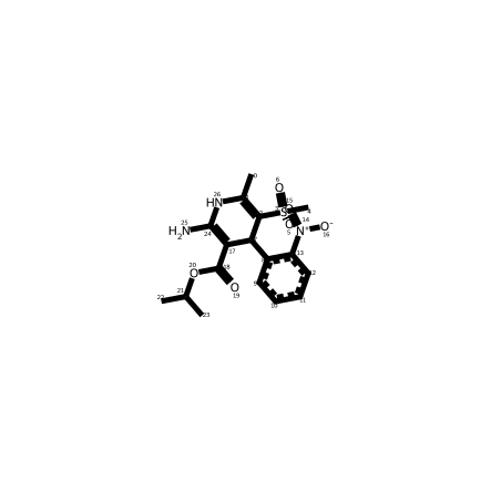 CC1=C(S(C)(=O)=O)C(c2ccccc2[N+](=O)[O-])C(C(=O)OC(C)C)=C(N)N1